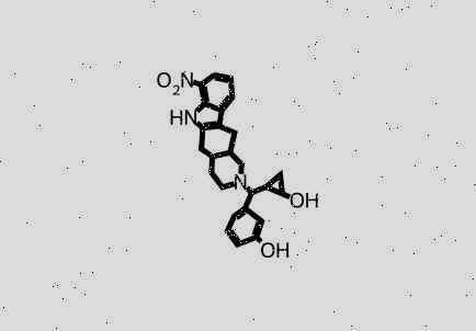 O=[N+]([O-])c1cccc2c3c([nH]c12)CC1CCN(C(c2cccc(O)c2)C2CC2O)CC1C3